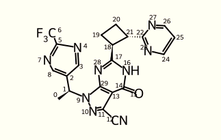 C[C@@H](c1cnc(C(F)(F)F)nc1)n1nc(C#N)c2c(=O)[nH]c([C@H]3CC[C@@H]3c3ncccn3)nc21